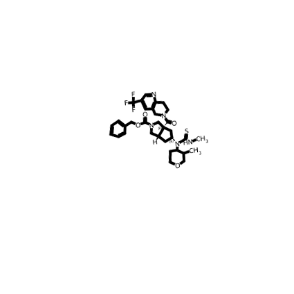 CNC(=S)N(C1CCOCC1C)[C@@H]1C[C@H]2CN(C(=O)OCc3ccccc3)C[C@@]2(C(=O)N2CCc3ncc(C(F)(F)F)cc3C2)C1